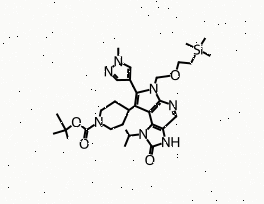 CC(C)n1c(=O)[nH]c2cnc3c(c(C4CCN(C(=O)OC(C)(C)C)CC4)c(-c4cnn(C)c4)n3COCC[Si](C)(C)C)c21